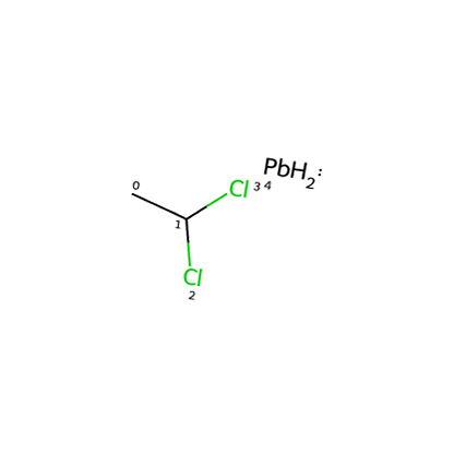 CC(Cl)Cl.[PbH2]